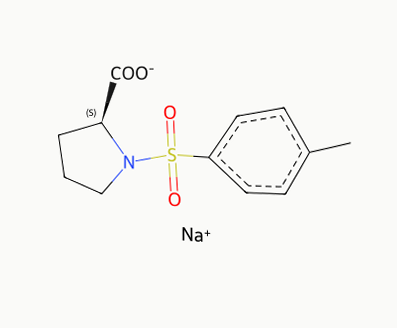 Cc1ccc(S(=O)(=O)N2CCC[C@H]2C(=O)[O-])cc1.[Na+]